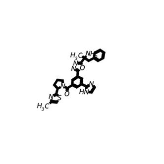 Cc1csc(C2CCCN2C(=O)c2cc(-c3ncc[nH]3)cc(-c3nnc(C(C)(N)Cc4ccccc4)o3)c2)n1